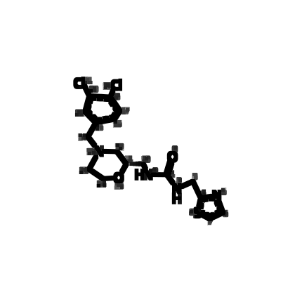 O=C(NCc1nccs1)NC[C@H]1CN(Cc2ccc(Cl)c(Cl)c2)CCO1